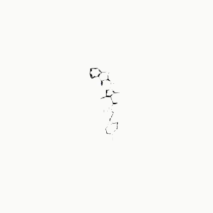 Cc1[nH]c(/C=C2\C(=O)Nc3ccccc32)c(C)c1C(=O)NCCN1CCNCC1=O